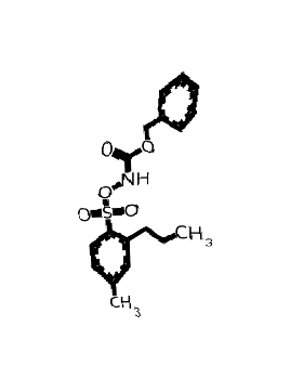 CCCc1cc(C)ccc1S(=O)(=O)ONC(=O)OCc1ccccc1